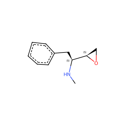 CN[C@@H](Cc1ccccc1)[C@H]1CO1